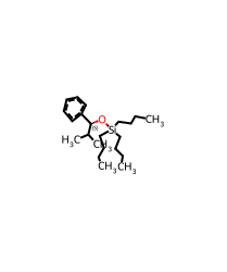 CCCC[Si](CCCC)(CCCC)O[C@H](c1ccccc1)C(C)C